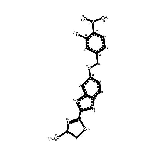 O=C(O)C1CSC(c2nc3ccc(OCc4ccc(B(O)O)c(F)c4)cc3s2)=N1